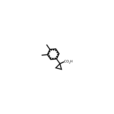 Cc1ccc(C2(C(=O)O)CC2)cc1C